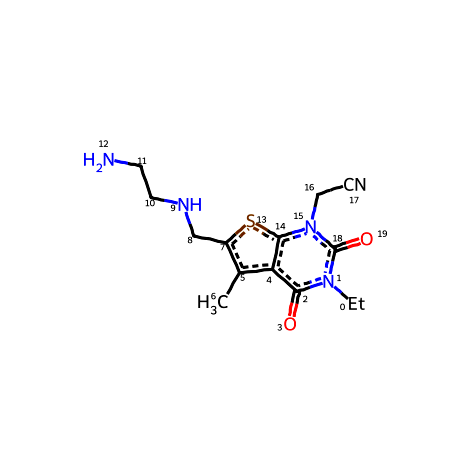 CCn1c(=O)c2c(C)c(CNCCN)sc2n(CC#N)c1=O